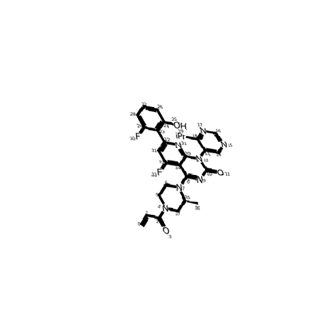 C=CC(=O)N1CCN(c2nc(=O)n(-c3cncnc3C(C)C)c3nc(-c4c(O)cccc4F)cc(F)c23)[C@@H](C)C1